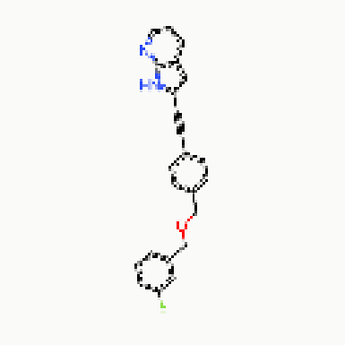 Fc1cccc(COCc2ccc(C#Cc3cc4cccnc4[nH]3)cc2)c1